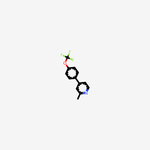 Cc1cc(-c2ccc(OC(F)(F)F)cc2)ccn1